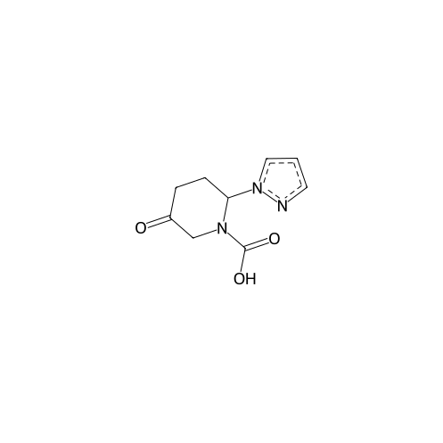 O=C1CCC(n2cccn2)N(C(=O)O)C1